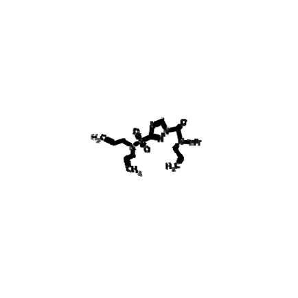 C=CCN(CCC)C(=O)n1cnc(S(=O)(=O)N(CC=C)CC=C)n1